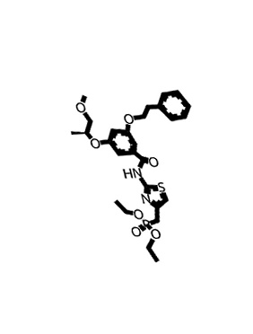 CCOP(=O)(Cc1csc(NC(=O)c2cc(OCCc3ccccc3)cc(O[C@@H](C)COC)c2)n1)OCC